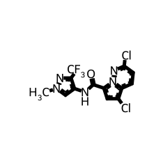 Cn1cc(NC(=O)c2cc(Cl)c3ccc(Cl)nn23)c(C(F)(F)F)n1